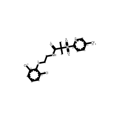 CC(C)(C(=O)NCCSc1c(Cl)cccc1Cl)S(=O)(=O)c1ccc(C(F)(F)F)cn1